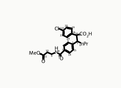 CCCC(c1ccc(C(=O)NCCC(=O)OC)cc1)C(C(=O)O)c1ccc(Cl)cc1